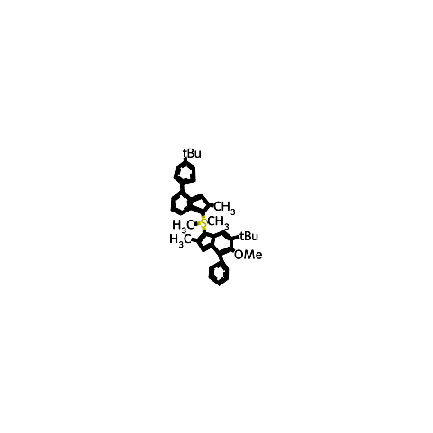 COC1=C(c2ccccc2)C2=CC(C)=C(S(C)(C)C3=c4cccc(-c5ccc(C(C)(C)C)cc5)c4=CC3C)C2C=C1C(C)(C)C